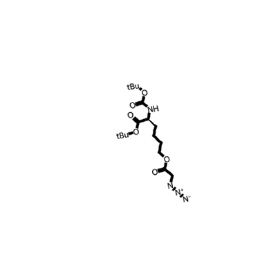 CC(C)(C)OC(=O)N[C@@H](CCCCOC(=O)CN=[N+]=[N-])C(=O)OC(C)(C)C